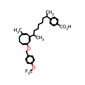 C/C1=C/C(C(C)CCCCCC(C)c2ccc(C(=O)O)cc2)=C\C(OCc2ccc(OC(F)(F)F)cc2)=C/CC1